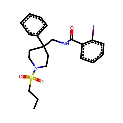 CCCS(=O)(=O)N1CCC(CNC(=O)c2ccccc2I)(c2ccccc2)CC1